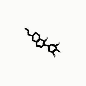 CCCC1CCc2c(ccc(-c3cc(F)c(F)c(F)c3)c2F)C1